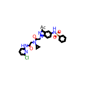 CC(=O)c1nn(CC(=O)N(CC(=O)Nc2cccc(Cl)n2)C2CC2)c2ccc(NS(=O)(=O)c3ccccc3)cc12